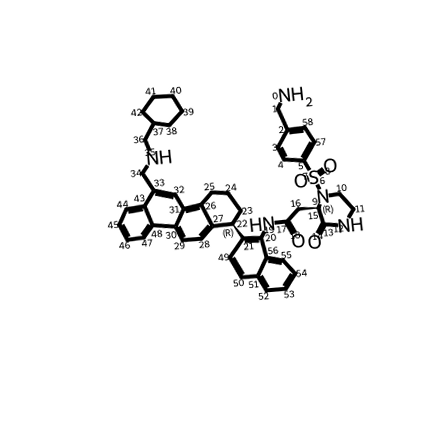 NCc1ccc(S(=O)(=O)N2CCNC(=O)[C@H]2CC(=O)Nc2c([C@@H]3CCCc4c3ccc3c4cc(CNCC4CCCCC4)c4ccccc43)ccc3ccccc23)cc1